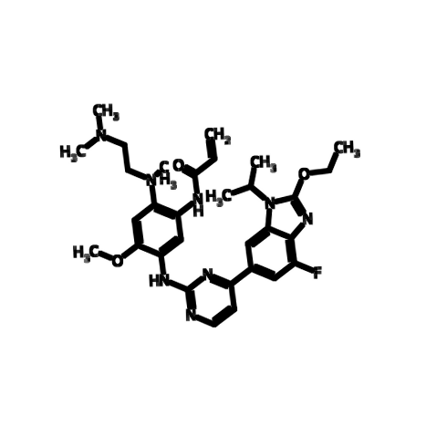 C=CC(=O)Nc1cc(Nc2nccc(-c3cc(F)c4nc(OCC)n(C(C)C)c4c3)n2)c(OC)cc1N(C)CCN(C)C